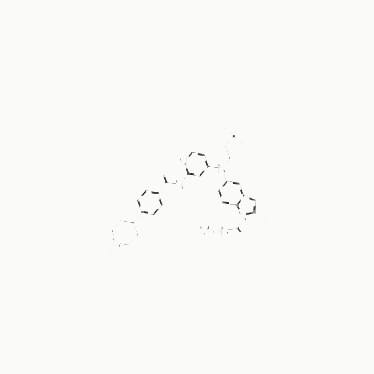 CNC(=O)n1c(C)cc2cc(N(CCC(C)(C)O)c3ccnc(NC(=O)c4ccc(C5CCN(C)CC5)cc4)c3)ccc21